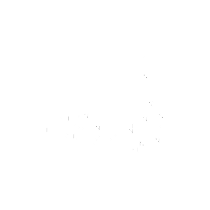 Cc1ccc(C(=O)Nc2cc(C(C)(C)C)on2)cc1Nc1ncnc2cnc(N3CCC(N4CCOCC4)CC3)nc12